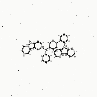 c1ccc(N(c2ccc(-c3ccccc3-n3c4ccccc4c4ccccc43)cc2)c2ccc3oc4ccncc4c3c2)cc1